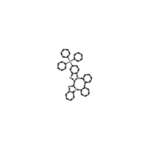 c1ccc([Si](c2ccccc2)(c2ccccc2)c2ccc3c(c2)nc2c4nc5ccccc5n4c4ccccc4c4ccccc4n32)cc1